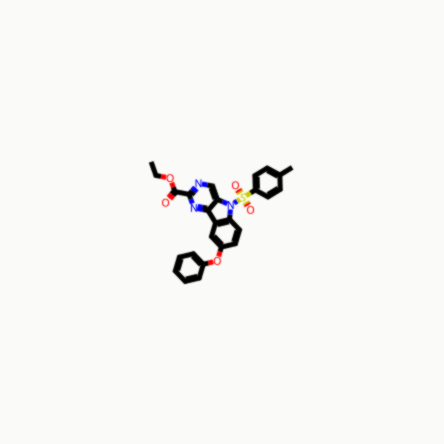 CCOC(=O)c1ncc2c(n1)c1cc(Oc3ccccc3)ccc1n2S(=O)(=O)c1ccc(C)cc1